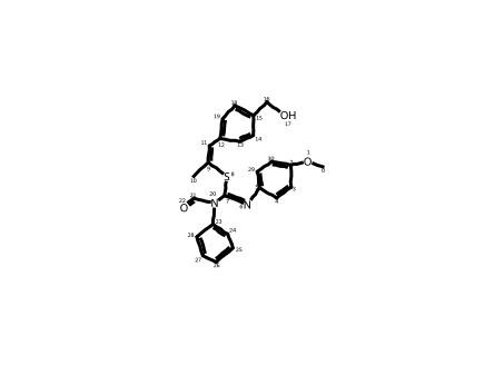 COc1ccc(/N=C(\S/C(C)=C\c2ccc(CO)cc2)N(C=O)c2ccccc2)cc1